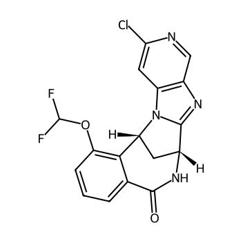 O=C1N[C@@H]2C[C@H](c3c(OC(F)F)cccc31)n1c2nc2cnc(Cl)cc21